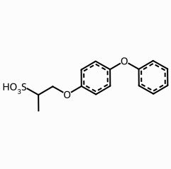 CC(COc1ccc(Oc2ccccc2)cc1)S(=O)(=O)O